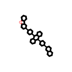 c1ccc2cc(-c3ccc(-c4c5ccccc5c(-c5ccc(-c6ccc7oc8ccccc8c7c6)cc5)c5ccccc45)cc3)ccc2c1